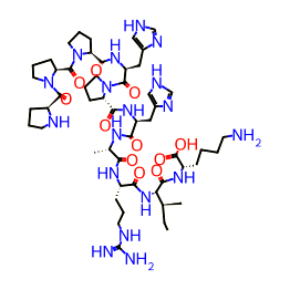 CC[C@H](C)[C@H](NC(=O)[C@H](CCCNC(=N)N)NC(=O)[C@H](C)NC(=O)[C@H](Cc1c[nH]cn1)NC(=O)[C@@H]1CCCN1C(=O)[C@H](Cc1c[nH]cn1)NC(=O)[C@@H]1CCCN1C(=O)[C@@H]1CCCN1C(=O)[C@@H]1CCCN1)C(=O)N[C@@H](CCCCN)C(=O)O